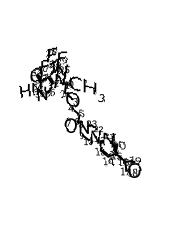 CC(COCCC(=O)N1CCN(c2ccc(C3COC3)cn2)CC1)n1nc(C(F)(F)F)c2c(=O)[nH]ncc21